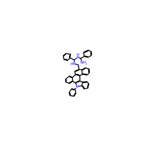 NC(NC(NCc1cc2c3ccccc3c3c(c4ccccc4n3-c3ccccc3)c2c2ccccc12)c1ccccc1)c1ccccc1